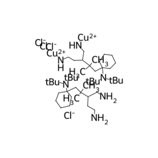 CC(C)(CC1(N(C(C)(C)C)C(C)(C)C)CCCCC1)C(CC[NH][Cu+2])C[NH][Cu+2].CC(C)(CC1(N(C(C)(C)C)C(C)(C)C)CCCCC1)C(CN)CCN.[Cl-].[Cl-].[Cl-].[Cl-]